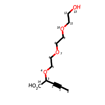 CC#CC(OCCOCCOCCO)C(=O)O